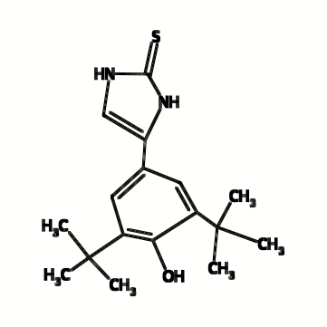 CC(C)(C)c1cc(-c2c[nH]c(=S)[nH]2)cc(C(C)(C)C)c1O